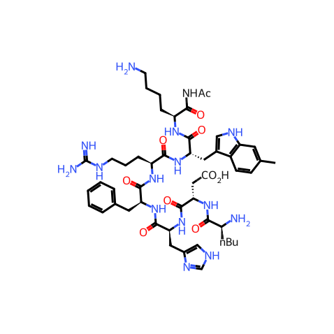 CCCC[C@H](N)C(=O)N[C@@H](CC(=O)O)C(=O)N[C@@H](Cc1c[nH]cn1)C(=O)N[C@@H](Cc1ccccc1)C(=O)N[C@@H](CCCNC(=N)N)C(=O)N[C@@H](Cc1c[nH]c2cc(C)ccc12)C(=O)N[C@@H](CCCCN)C(=O)NC(C)=O